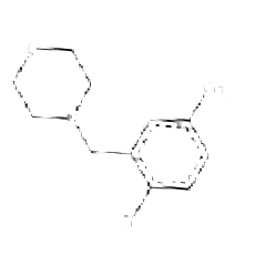 Cc1ccc(Cl)c(CN2CCOCC2)c1